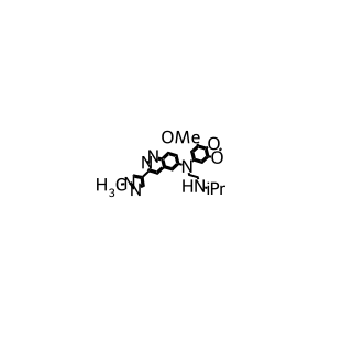 COc1cc(N(CCNC(C)C)c2ccc3nnc(-c4cnn(C)c4)cc3c2)cc2c1OCO2